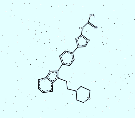 N=C(N)Nc1nc(-c2ccc(-c3nc4ccccc4n3CCN3CCOCC3)cc2)cs1